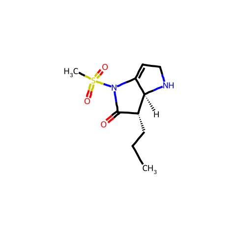 CCC[C@@H]1C(=O)N(S(C)(=O)=O)C2=CCN[C@H]21